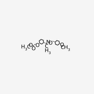 COC(=O)COc1cccc(C(C)=NOCc2ccc(OC)cc2)c1